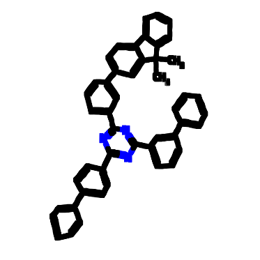 CC1(C)c2ccccc2-c2ccc(-c3cccc(-c4nc(-c5ccc(-c6ccccc6)cc5)nc(-c5cccc(-c6ccccc6)c5)n4)c3)cc21